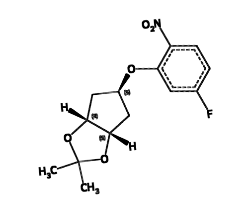 CC1(C)O[C@H]2C[C@H](Oc3cc(F)ccc3[N+](=O)[O-])C[C@H]2O1